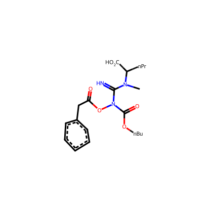 CCCCOC(=O)N(OC(=O)Cc1ccccc1)C(=N)N(C)C(CCC)C(=O)O